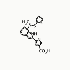 CN(Sc1cccs1)c1cccc2cc(-c3ncc(C(=O)O)s3)[nH]c12